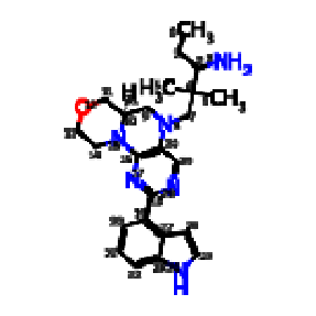 CCC(N)C(C)(C)CN1C[C@@H]2COCCN2c2nc(-c3cccc4[nH]ccc34)ncc21